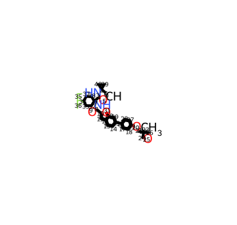 C#CC1(NC(=O)C2(NC(=O)c3cc4ccc(-c5ccc(OCC6(C)COC6)cc5)cc4o3)CCC(F)(F)CC2)CC1